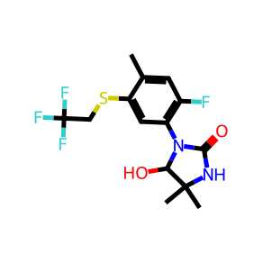 Cc1cc(F)c(N2C(=O)NC(C)(C)C2O)cc1SCC(F)(F)F